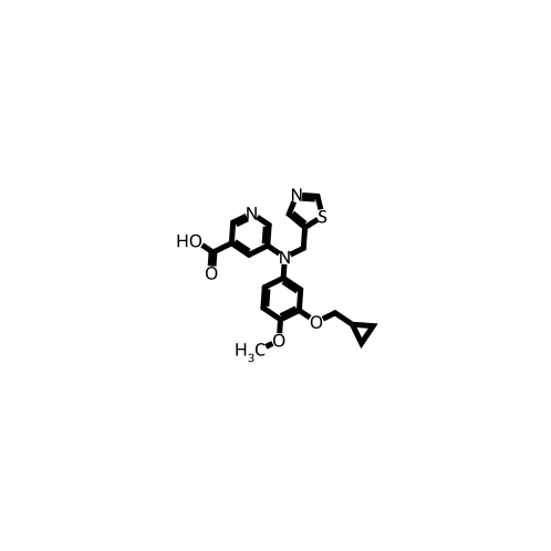 COc1ccc(N(Cc2cncs2)c2cncc(C(=O)O)c2)cc1OCC1CC1